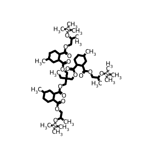 CCC(COC(=O)C1CCC(C)CC1C(=O)OCC(C)O[Si](C)(C)C)(COC(=O)C1CC(C)CCC1C(=O)OCC(C)O[Si](C)(C)C)COC(=O)C1CC(C)CCC1C(=O)OCC(C)O[Si](C)(C)C